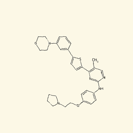 Cc1cnc(Nc2ccc(OCCN3CCCC3)cc2)nc1-c1ccc(-c2cccc(N3CCOCC3)c2)s1